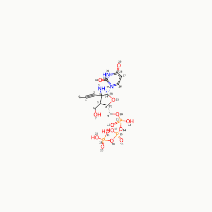 CC#CC1(N)C(CO)[C@@H](COP(=O)(O)OP(=O)(O)OP(=O)(O)O)O[C@H]1n1ccc(=O)[nH]c1=O